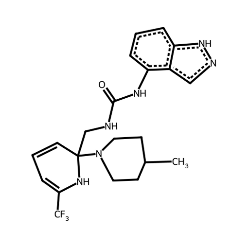 CC1CCN(C2(CNC(=O)Nc3cccc4[nH]ncc34)C=CC=C(C(F)(F)F)N2)CC1